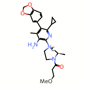 COCCC(=O)N1CCN(c2nc(C3CC3)c(-c3ccc4c(c3)OCO4)c(C)c2N)C[C@H]1C